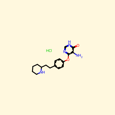 Cl.Nc1c(Oc2ccc(CCC3CCCCN3)cc2)nc[nH]c1=O